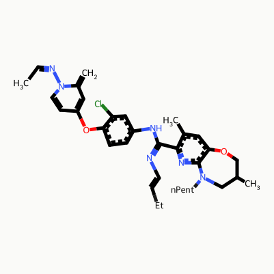 C=C1C=C(Oc2ccc(N/C(=N/C=C/CC)c3nc4c(cc3C)OCC(C)CN4CCCCC)cc2Cl)C=CN1/N=C\C